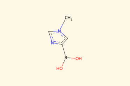 Cn1cnc(B(O)O)c1